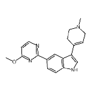 COc1ccnc(-c2ccc3[nH]cc(C4=CCN(C)CC4)c3c2)n1